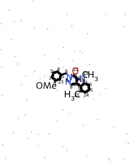 COc1cccc(Cn2ncc3c4c(C)cccc4n(C)c3c2=O)c1